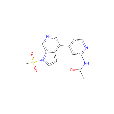 CC(=O)Nc1cc(-c2cncc3c2ccn3S(C)(=O)=O)ccn1